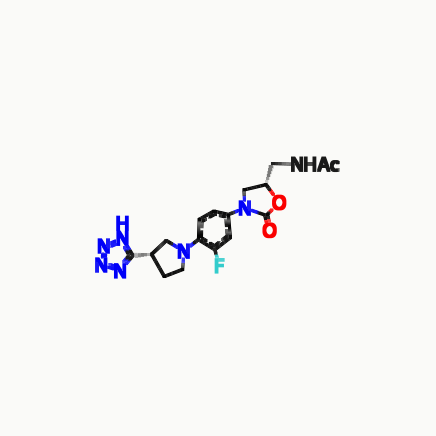 CC(=O)NC[C@H]1CN(c2ccc(N3CC[C@H](c4nnn[nH]4)C3)c(F)c2)C(=O)O1